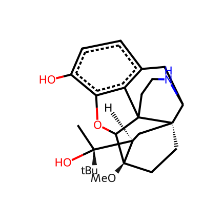 CO[C@]12CC[C@@]3(C[C@@H]1[C@@](C)(O)C(C)(C)C)C1Cc4ccc(O)c5c4C3(CCN1)C2O5